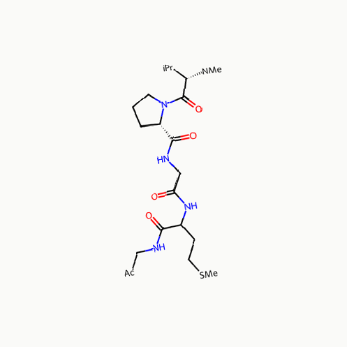 CN[C@H](C(=O)N1CCC[C@H]1C(=O)NCC(=O)NC(CCSC)C(=O)NCC(C)=O)C(C)C